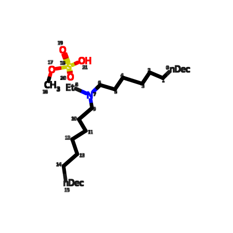 CCCCCCCCCCCCCCCCN(CC)CCCCCCCCCCCCCCCC.COS(=O)(=O)O